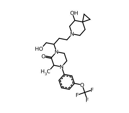 CC1C(=O)N(C(CO)CCN2CCC3(CC3)C(O)C2)CCN1c1cccc(OC(F)(F)F)c1